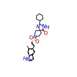 Cc1cc2[nH]ccc2cc1/C=C/S(=O)(=O)N1CCC2(CC1)N=C(C1CCCCC1)NC2=O